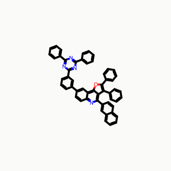 c1ccc(-c2nc(-c3ccccc3)nc(-c3cccc(-c4ccc5nc(-c6ccc7ccccc7c6)c6c(-c7ccccc7)c(-c7ccccc7)oc6c5c4)c3)n2)cc1